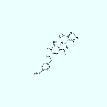 C=C1C(NCc2ccc(SC)nc2)=Nc2c(C)nc(-c3c(C)ncnc3C3CC3)nc2N1[C@H](C)CC